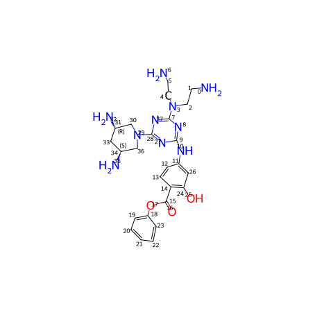 NCCN(CCN)c1nc(Nc2ccc(C(=O)Oc3ccccc3)c(O)c2)nc(N2C[C@H](N)C[C@H](N)C2)n1